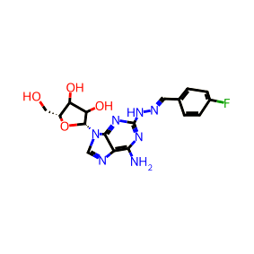 Nc1nc(NN=Cc2ccc(F)cc2)nc2c1ncn2[C@@H]1O[C@H](CO)C(O)C1O